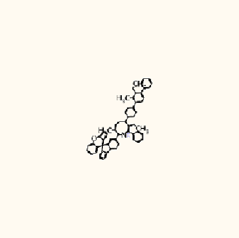 CCC1C(c2ccccc2)=CC=C(c2ccc(C3CCC(C)C(c4ccc5c(c4)C4(c6ccccc6Oc6ccccc64)c4ccccc4-5)/N=C(/c4ccccc4)C3CC)cc2)C1C